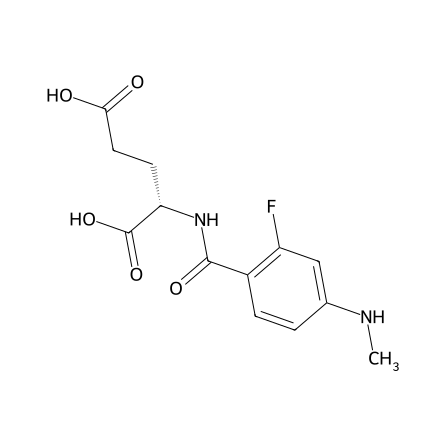 CNc1ccc(C(=O)N[C@@H](CCC(=O)O)C(=O)O)c(F)c1